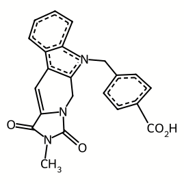 CN1C(=O)C2=Cc3c(n(Cc4ccc(C(=O)O)cc4)c4ccccc34)CN2C1=O